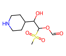 CS(=O)(=O)C(OC=O)C(O)C1CCNCC1